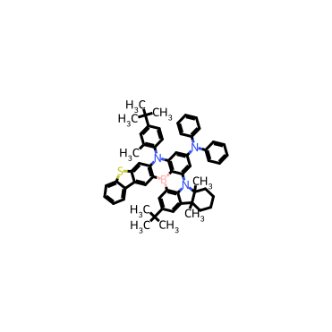 Cc1cc(C(C)(C)C)ccc1N1c2cc3sc4ccccc4c3cc2B2c3cc(C(C)(C)C)cc4c3N(c3cc(N(c5ccccc5)c5ccccc5)cc1c32)C1(C)CCCCC41C